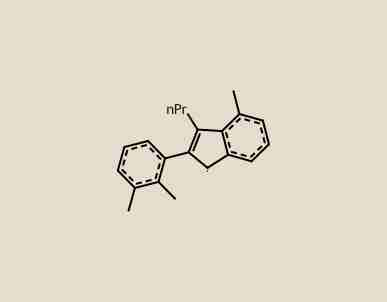 CCCC1=C(c2cccc(C)c2C)[CH]c2cccc(C)c21